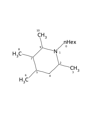 CCCCCCN1C(C)CC(C)C(C)C1C